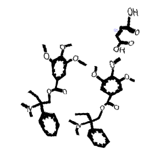 CCC(COC(=O)c1cc(OC)c(OC)c(OC)c1)(c1ccccc1)N(C)C.CCC(COC(=O)c1cc(OC)c(OC)c(OC)c1)(c1ccccc1)N(C)C.O=C(O)/C=C\C(=O)O